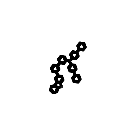 c1ccc(-c2ccc(N(c3ccc(-c4ccccc4)cc3)c3cccc(-c4cccc(-c5ccc6oc7ccccc7c6c5)c4)c3)cc2)cc1